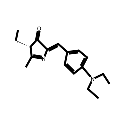 CC[C@@H]1C(=O)/C(=C/c2ccc(N(CC)CC)cc2)N=C1C